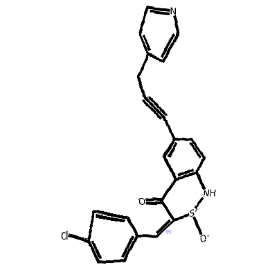 O=C1/C(=C\c2ccc(Cl)cc2)[S+]([O-])Nc2ccc(C#CCc3ccncc3)cc21